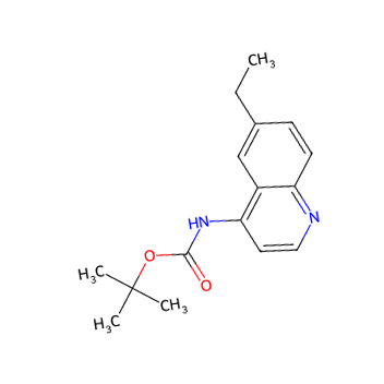 CCc1ccc2nccc(NC(=O)OC(C)(C)C)c2c1